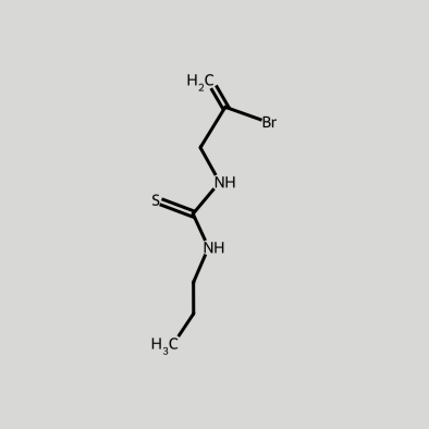 C=C(Br)CNC(=S)NCCC